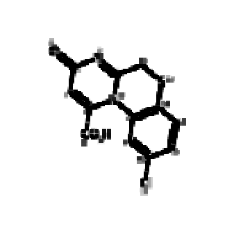 O=C(O)c1cc(=O)nc2n1-c1cc(Cl)ccc1SC2